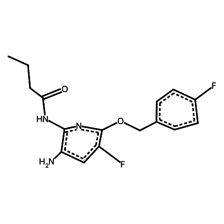 CCCC(=O)Nc1nc(OCc2ccc(F)cc2)c(F)cc1N